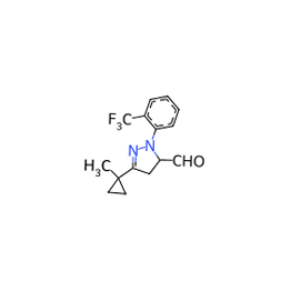 CC1(C2=NN(c3ccccc3C(F)(F)F)C(C=O)C2)CC1